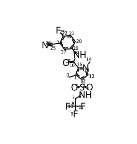 Cc1c(S(=O)(=O)NCC(F)(F)F)cn(C)c1C(=O)Nc1ccc(F)c(C#N)c1